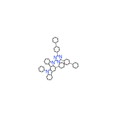 c1ccc(-c2ccc(-c3nc(-c4ccc(-c5ccccc5)cc4)nc(-n4c5ccccc5c5c4c(-c4ccccc4)cc4c6ccccc6n(-c6ccccc6)c45)n3)cc2)cc1